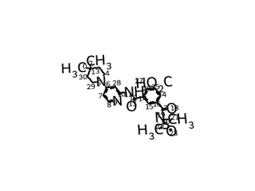 CC1(C)CCN(c2ccnc(NC(=O)c3cc(C(=O)N=S(C)(C)=O)ccc3C(=O)O)c2)CC1